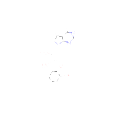 Cc1cn([C@@H]2C[C@H](Oc3ccc(F)cc3O)[C@@H](O)[C@H]2O)c2ncnc(C)c12